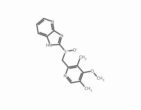 COc1c(C)cnc(C[S+]([O-])c2nc3ncccc3[nH]2)c1C